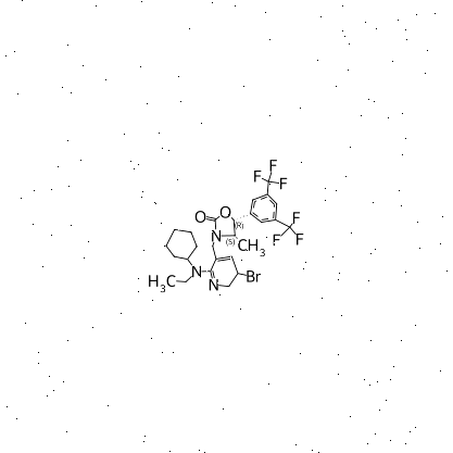 CCN(C1=NCC(Br)C=C1CN1C(=O)O[C@H](c2cc(C(F)(F)F)cc(C(F)(F)F)c2)[C@@H]1C)C1CCCCC1